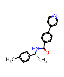 Cc1ccc([C@@H](C)NC(=O)c2ccc(-c3ccncc3)cc2)cc1